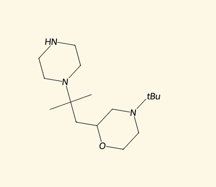 CC(C)(C)N1CCOC(CC(C)(C)N2CCNCC2)C1